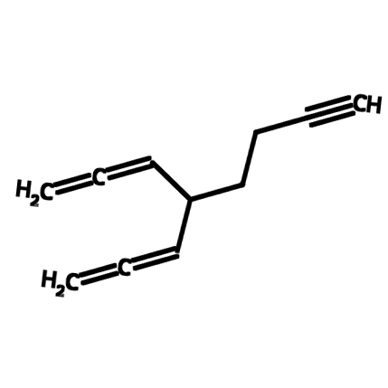 C#CCCC(C=C=C)C=C=C